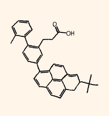 Cc1ccccc1-c1ccc(-c2ccc3ccc4c5c(ccc2c35)=CC(C(C)(C)C)C4)cc1CCC(=O)O